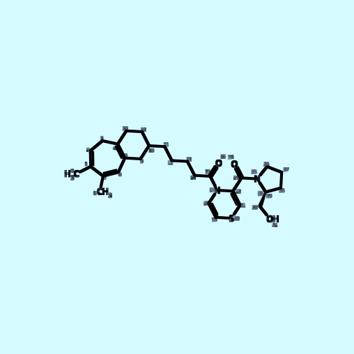 CC1=CCC2=C(C=C1C)CC(CCCCC(=O)N1C=CSC=C1C(=O)N1CCC[C@H]1CO)CC2